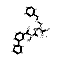 CCCN(C(=O)N[C@@H](CSCc1ccccc1)C(N)=O)C(=O)c1cccc(-c2ccccc2)c1